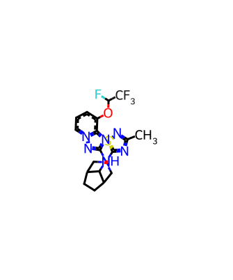 Cc1nsc(N2CC3CCC(C2)C3Nc2nc3c(OC(F)C(F)(F)F)cccn3n2)n1